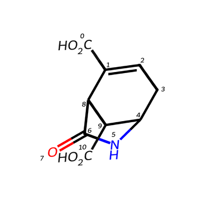 O=C(O)C1=CCC2NC(=O)C1C2C(=O)O